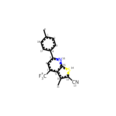 Cc1ccc(-c2cc(C(F)(F)F)c3c(C)c(C#N)sc3n2)cc1